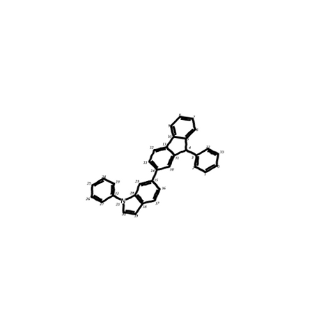 c1ccc(C2c3ccccc3-c3ccc(-c4ccc5ccn(-c6ccccc6)c5c4)cc32)cc1